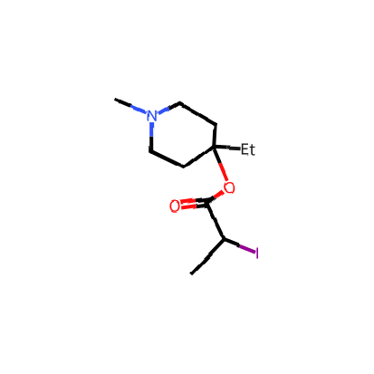 CCC1(OC(=O)C(C)I)CCN(C)CC1